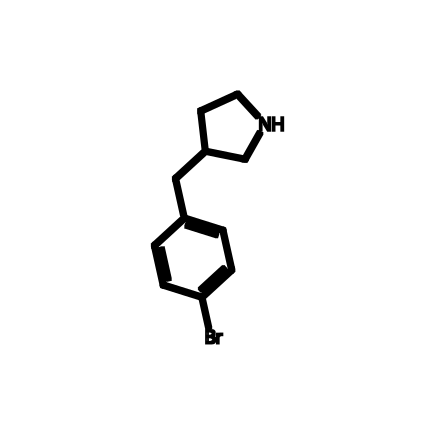 Brc1ccc(CC2CCNC2)cc1